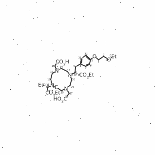 CCOCCOc1ccc(C[C@H](C(=O)OCC)N2CCN(CC(=O)O)CCN([C@@H](CC)C(=O)OCC)CCN(CC(=O)O)CC2)cc1